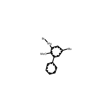 COc1[c]([Mg][Br])cc(C(C)(C)C)cc1-c1ccccc1